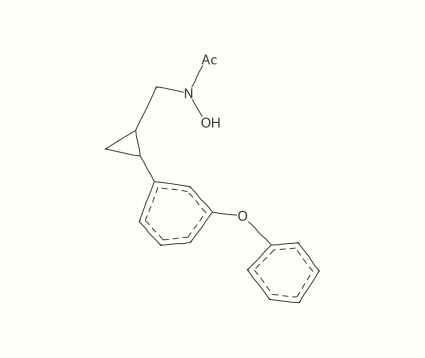 CC(=O)N(O)CC1CC1c1cccc(Oc2ccccc2)c1